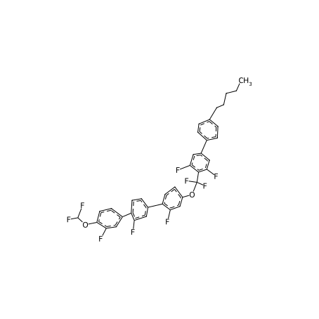 CCCCCc1ccc(-c2cc(F)c(C(F)(F)Oc3ccc(-c4ccc(-c5ccc(OC(F)F)c(F)c5)c(F)c4)c(F)c3)c(F)c2)cc1